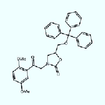 COc1ccc(OC)c(C(=O)CN2CC(COC(c3ccccc3)(c3ccccc3)c3ccccc3)OC2=O)c1